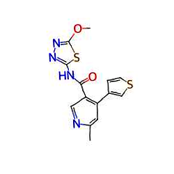 COc1nnc(NC(=O)c2cnc(C)cc2-c2ccsc2)s1